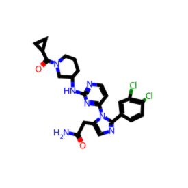 NC(=O)Cc1cnc(-c2ccc(Cl)c(Cl)c2)n1-c1ccnc(NC2CCCN(C(=O)C3CC3)C2)n1